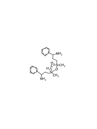 C[Si](C)(CCC(N)c1ccccc1)O[Si](C)(C)CCC(N)c1ccccc1